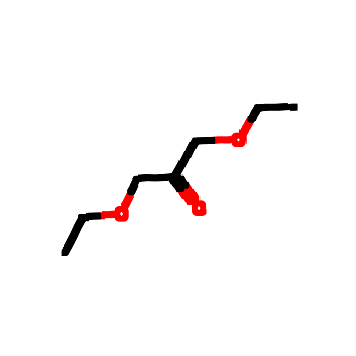 CCOCC(=O)COCC